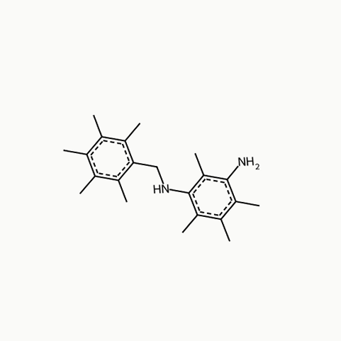 Cc1c(C)c(C)c(CNc2c(C)c(C)c(C)c(N)c2C)c(C)c1C